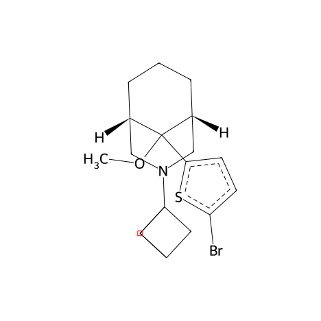 COC1(c2ccc(Br)s2)[C@@H]2CCC[C@H]1CN(C13CC(C1)C3)C2